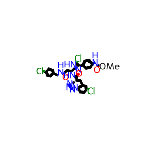 COC(=O)Nc1ccc(-c2nc(C(CC(=O)NCc3ccc(Cl)cc3)NC(=O)/C=C/c3cc(Cl)ccc3-n3cnnn3)[nH]c2Cl)cc1